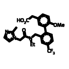 CCN(Cc1cc(C(F)(F)F)ccc1-c1cc(CC(=O)O)ccc1OC)C(=O)Cn1ccnc1C